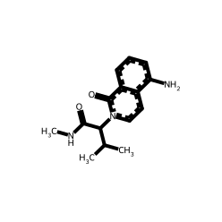 CNC(=O)C(C(C)C)n1ccc2c(N)cccc2c1=O